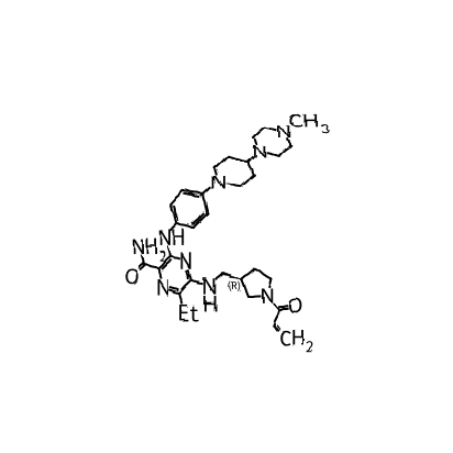 C=CC(=O)N1CC[C@H](CNc2nc(Nc3ccc(N4CCC(N5CCN(C)CC5)CC4)cc3)c(C(N)=O)nc2CC)C1